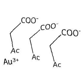 CC(=O)CC(=O)[O-].CC(=O)CC(=O)[O-].CC(=O)CC(=O)[O-].[Au+3]